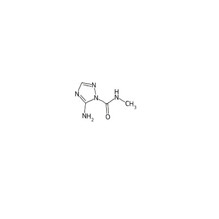 CNC(=O)n1ncnc1N